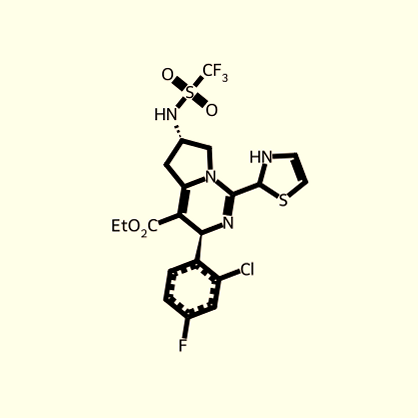 CCOC(=O)C1=C2C[C@H](NS(=O)(=O)C(F)(F)F)CN2C(C2NC=CS2)=N[C@H]1c1ccc(F)cc1Cl